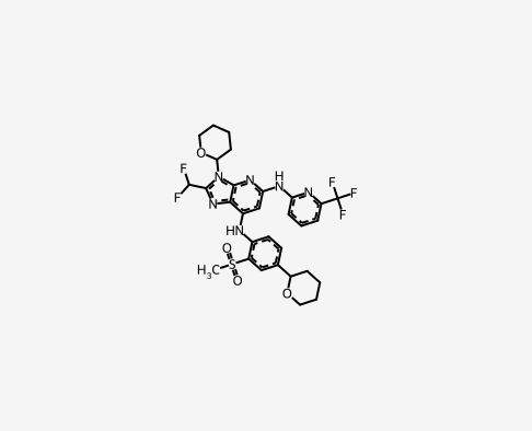 CS(=O)(=O)c1cc(C2CCCCO2)ccc1Nc1cc(Nc2cccc(C(F)(F)F)n2)nc2c1nc(C(F)F)n2C1CCCCO1